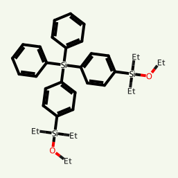 CCO[Si](CC)(CC)c1ccc([Si](c2ccccc2)(c2ccccc2)c2ccc([Si](CC)(CC)OCC)cc2)cc1